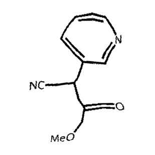 COC(=O)C(C#N)c1cccnc1